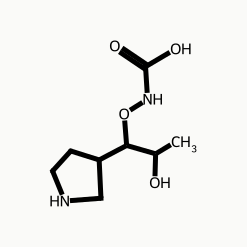 CC(O)C(ONC(=O)O)C1CCNC1